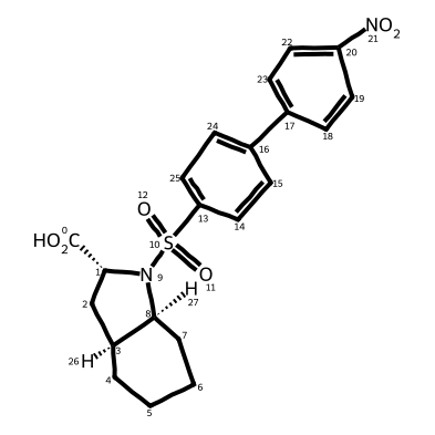 O=C(O)[C@H]1C[C@@H]2CCCC[C@@H]2N1S(=O)(=O)c1ccc(-c2ccc([N+](=O)[O-])cc2)cc1